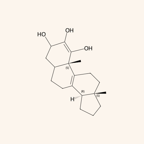 C[C@]12C(O)=C(O)C(O)CC1CCC1=C2CC[C@]2(C)CCC[C@@H]12